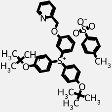 CC(C)(C)Oc1ccc([S+](c2ccc(OC(C)(C)C)cc2)c2cccc(OCc3ccccn3)c2)cc1.Cc1ccc(S(=O)(=O)[O-])cc1